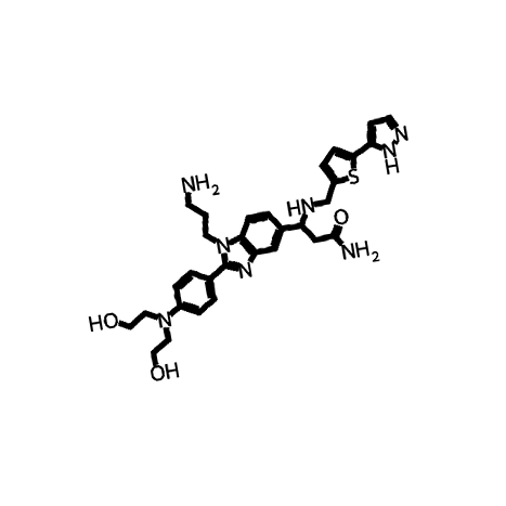 NCCCn1c(-c2ccc(N(CCO)CCO)cc2)nc2cc(C(CC(N)=O)NCc3ccc(-c4ccn[nH]4)s3)ccc21